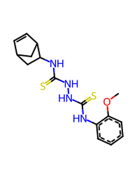 COc1ccccc1NC(=S)NNC(=S)NC1CC2C=CC1C2